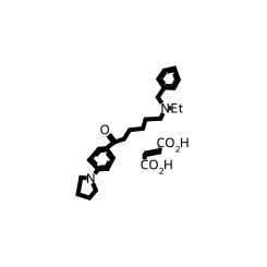 CCN(CCCCCC(=O)c1ccc(N2CCCC2)cc1)Cc1ccccc1.O=C(O)/C=C/C(=O)O